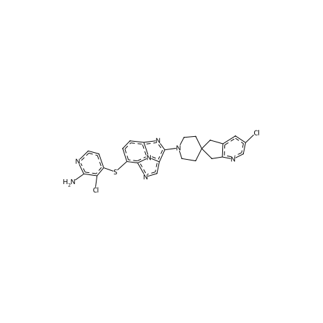 Nc1nccc(Sc2ccc3nc(N4CCC5(CC4)Cc4cc(Cl)cnc4C5)c4cnc2n34)c1Cl